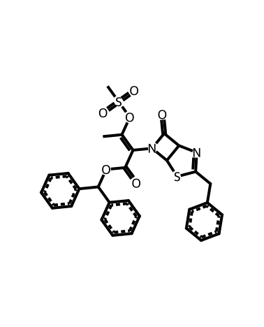 CC(OS(C)(=O)=O)=C(C(=O)OC(c1ccccc1)c1ccccc1)N1C(=O)C2N=C(Cc3ccccc3)SC21